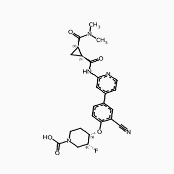 CN(C)C(=O)[C@@H]1C[C@@H]1C(=O)Nc1cc(-c2ccc(O[C@H]3CCN(C(=O)O)C[C@H]3F)c(C#N)c2)ccn1